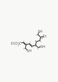 CCOC(=O)C=C(C=CC(CS)CCC(CC)CS)CS